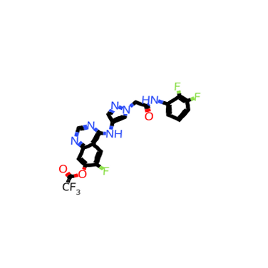 O=C(Cn1cc(Nc2ncnc3cc(OC(=O)C(F)(F)F)c(F)cc23)cn1)Nc1cccc(F)c1F